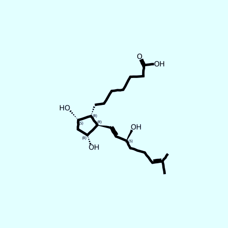 CC(C)=CCC[C@H](O)C=C[C@@H]1[C@@H](CCCCCCC(=O)O)[C@@H](O)C[C@H]1O